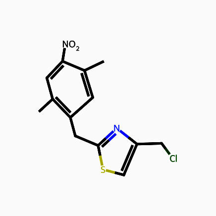 Cc1cc([N+](=O)[O-])c(C)cc1Cc1nc(CCl)cs1